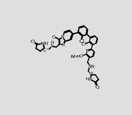 COc1nc(-c2cccc(-c3cccc(-c4ccn5c(Cl)c(CNC[C@@H]6CCC(=O)N6)nc5c4)c3Cl)c2Cl)ccc1CNC[C@H]1CCC(=O)N1